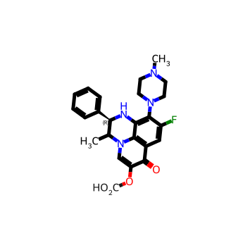 CC1[C@@H](c2ccccc2)Nc2c(N3CCN(C)CC3)c(F)cc3c(=O)c(OC(=O)O)cn1c23